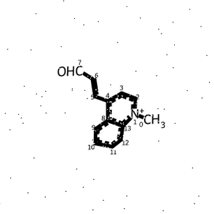 C[n+]1ccc(/C=C/C=O)c2ccccc21